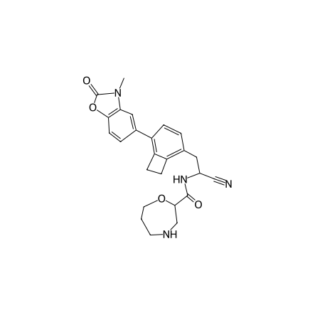 Cn1c(=O)oc2ccc(-c3ccc(CC(C#N)NC(=O)C4CNCCCO4)c4c3CC4)cc21